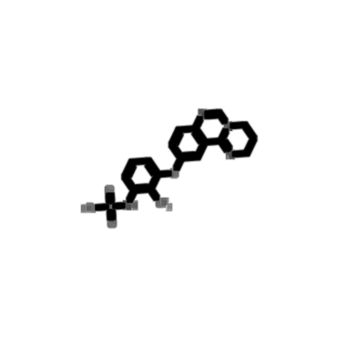 CCCS(=O)(=O)Nc1cccc(Oc2ccc3c(c2)C2=NCCCN2C=N3)c1C(F)(F)F